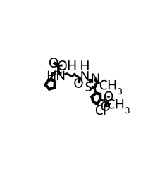 Cc1nc(NC(=O)CCCN[C@@H](Cc2ccccc2)C(=O)O)sc1-c1ccc(Cl)c(S(C)(=O)=O)c1